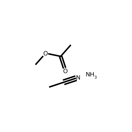 CC#N.COC(C)=O.N